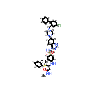 CC(C)(C)NC(=O)C[C@H](CSc1ccccc1)Nc1ccc(S(=O)(=O)Nc2ncnc3cc(N4CCN(Cc5cc(Cl)ccc5-c5ccccc5)CC4)ccc23)cc1[N+](=O)[O-]